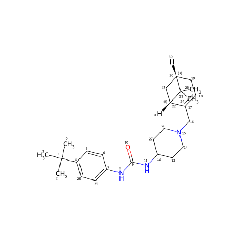 CC(C)(C)c1ccc(NC(=O)NC2CCN(CC3=CC[C@H]4C[C@@H]3C4(C)C)CC2)cc1